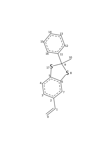 C=Cc1ccc2c(c1)SC(C)(c1ccccc1)S2